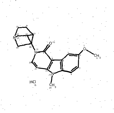 COc1ccc2c(c1)c1c(=O)n(C3CN4CCC3CC4)ccc1n2C.Cl